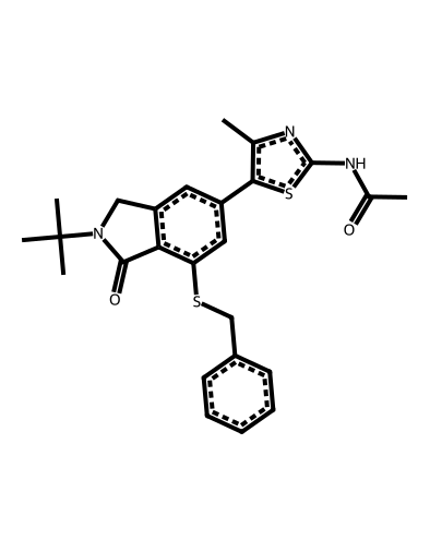 CC(=O)Nc1nc(C)c(-c2cc3c(c(SCc4ccccc4)c2)C(=O)N(C(C)(C)C)C3)s1